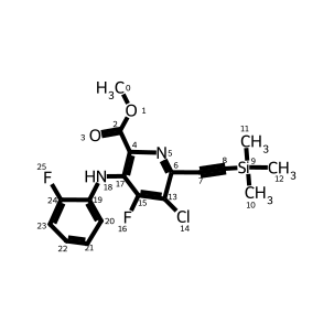 COC(=O)c1nc(C#C[Si](C)(C)C)c(Cl)c(F)c1Nc1ccccc1F